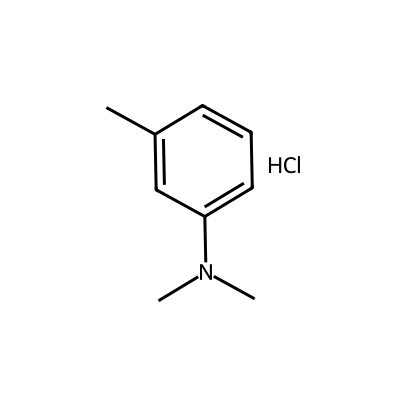 Cc1cccc(N(C)C)c1.Cl